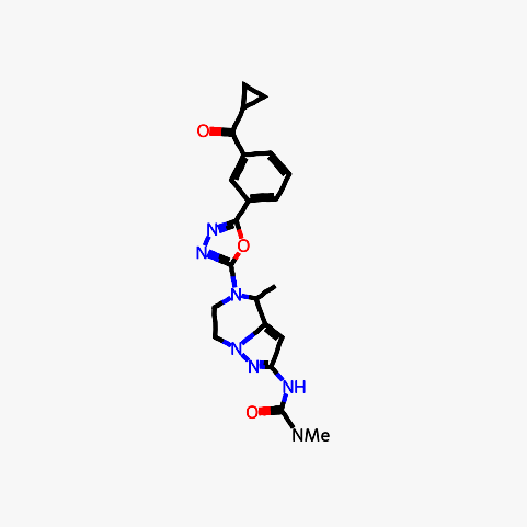 CNC(=O)Nc1cc2n(n1)CCN(c1nnc(-c3cccc(C(=O)C4CC4)c3)o1)C2C